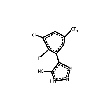 N#Cc1[nH]nnc1-c1cc(C(F)(F)F)cc(Cl)c1F